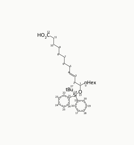 CCCCCCC(CC=CCCCCCCCC(=O)O)O[Si](c1ccccc1)(c1ccccc1)C(C)(C)C